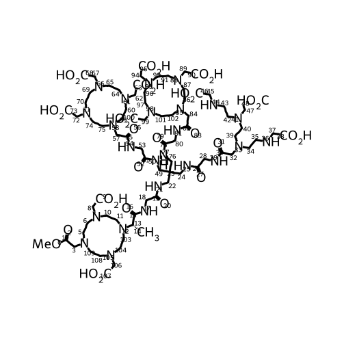 COC(=O)CN1CCN(CC(=O)O)CCN([C@@H](C)C(=O)NCC(=O)NCC(CNC(=O)CNC(=O)CN(CCNCC(=O)O)CCN(CCNCC(=O)O)CC(=O)O)(CNC(=O)CNC(=O)CN2CCN(CC(=O)O)CCN(CC(=O)O)CCN(CC(=O)O)CC2)CNC(=O)CNC(=O)CN2CCN(CC(=O)O)CCN(CC(=O)O)CCN(CC(=O)O)CC2)CCN(CC(=O)O)CC1